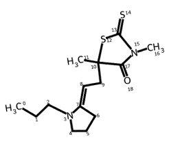 CCCN1CCC/C1=C\CC1(C)SC(=S)N(C)C1=O